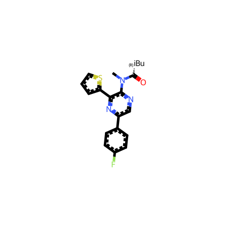 CC[C@@H](C)C(=O)N(C)c1ncc(-c2ccc(F)cc2)nc1-c1cccs1